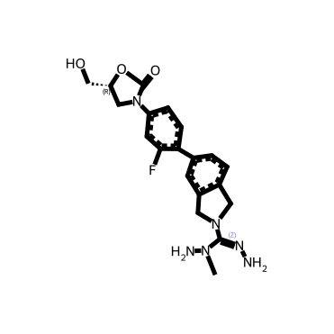 CN(N)/C(=N\N)N1Cc2ccc(-c3ccc(N4C[C@H](CO)OC4=O)cc3F)cc2C1